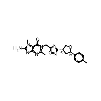 Cc1ccc([C@H]2C[C@H](c3noc(Cn4c(C)nc5nc(N)n(C)c5c4=O)n3)CO2)cc1